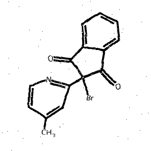 Cc1ccnc(C2(Br)C(=O)c3ccccc3C2=O)c1